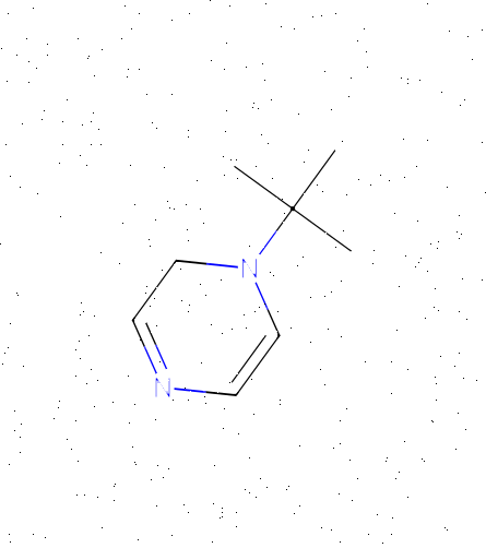 CC(C)(C)N1C=CN=CC1